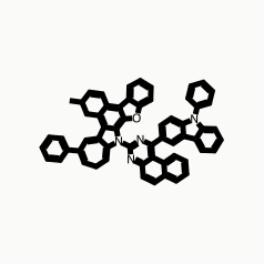 CC1C=Cc2c(c3c4c(n(-c5nc(-c6ccc7c(c6)c6ccccc6n7-c6ccccc6)c6c(ccc7ccccc76)n5)c3c3oc5ccccc5c23)=CCC=C(c2ccccc2)C=4)C1